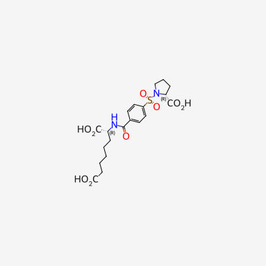 O=C(O)CCCCC[C@@H](NC(=O)c1ccc(S(=O)(=O)N2CCC[C@@H]2C(=O)O)cc1)C(=O)O